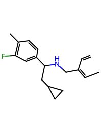 C=C/C(=C\C)CNC(CC1CC1)c1ccc(C)c(F)c1